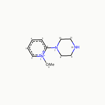 CO[n+]1ccccc1N1CCNCC1